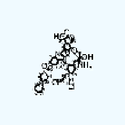 CCc1c2c(nc3ccc(OC(=O)N4CCC(N5CCCCC5)CC4)cc13)-c1cc3c(c(=O)n1C2)COC(=O)[C@]3(O)CC.N[C@@H](Cc1ccc(N(CCCl)CCCl)cc1)C(=O)O